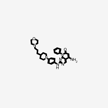 Nc1cc(=O)n(-c2ccccc2)c2nc(Nc3ccc(N4CCC(CCCN5CCOCC5)CC4)cc3)ncc12